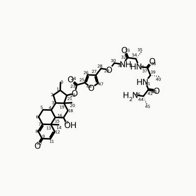 CC1CC2C3CCC4=CC(=O)C=CC4(C)C3C(O)CC2(C)C1OC(=O)c1cc(COCNC(=O)[C@H](C)NC(=O)[C@H](C)NC(=O)[C@H](C)N)co1